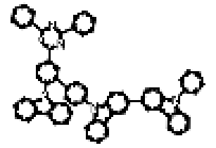 c1ccc(-c2nc(-c3ccccc3)nc(-c3ccc(-n4c5ccccc5c5ccccc54)c(-c4ccc(-n5c6ccccc6c6cc(-c7ccc8c(c7)c7ccccc7n8-c7ccccc7)ccc65)cc4)c3)n2)cc1